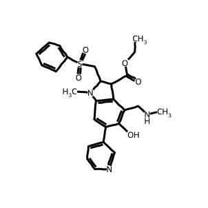 CCOC(=O)C1c2c(cc(-c3cccnc3)c(O)c2CNC)N(C)C1CS(=O)(=O)c1ccccc1